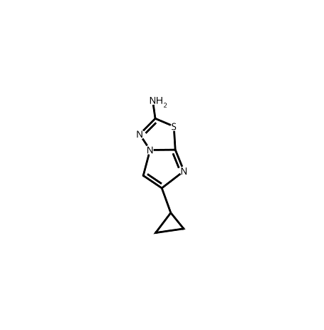 Nc1nn2cc(C3CC3)nc2s1